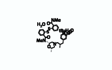 CC(Cc1ccc(C(C)(C)C)cc1)CN1C[C@@H](C)O[C@@H](C)C1.CNC(=O)c1ccccc1SSc1ccccc1C(=O)NC.O.O.O.O